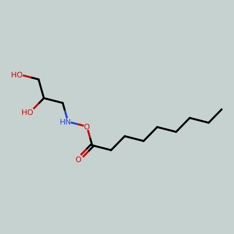 CCCCCCCCC(=O)ONCC(O)CO